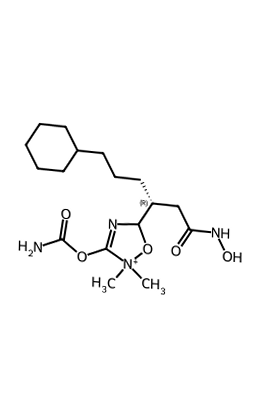 C[N+]1(C)OC([C@H](CCCC2CCCCC2)CC(=O)NO)N=C1OC(N)=O